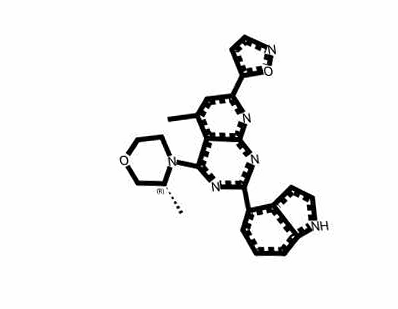 Cc1cc(-c2ccno2)nc2nc(-c3cccc4[nH]ccc34)nc(N3CCOC[C@H]3C)c12